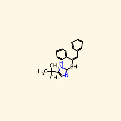 CC(C)(C)c1cnc(BC(=Cc2ccccc2)c2ccccc2)[nH]1